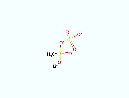 CS(=O)(=O)OS(=O)(=O)[O-].[Li+]